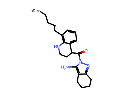 CCCCCCCCCCCCCCc1cccc2c1NCCC2C(=O)n1nc2c(c1N)CCCC2